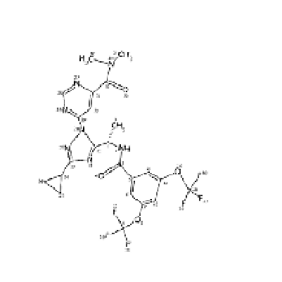 C[C@H](NC(=O)c1cc(OC(F)(F)F)cc(OC(F)(F)F)c1)c1nc(C2CC2)nn1-c1cc(C(=O)N(C)C)ncn1